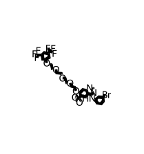 O=[N+]([O-])c1cc2c(Nc3cccc(Br)c3)ncnc2cc1OCCOCCOCCOCCOc1cc(C(F)(F)F)cc(C(F)(F)F)c1